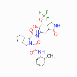 Cc1ccccc1NC(=O)C(=O)N1CC2CCCC2C1C(=O)NC(CC1CCNC1=O)C(=O)COC(F)(F)F